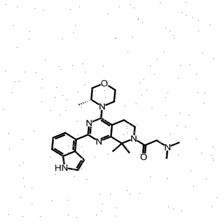 C[C@@H]1COCCN1c1nc(-c2cccc3[nH]ccc23)nc2c1CCN(C(=O)CN(C)C)C2(C)C